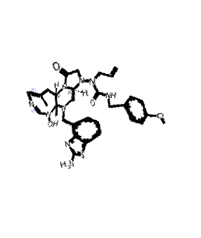 C=CCN(C(=O)NCc1ccc(OC)cc1)N1CC(=O)N2[C@H]3C/C(C)=C/N=C\N(O)C3(C)N(Cc3cccc4sc(N)nc34)C[C@@H]21